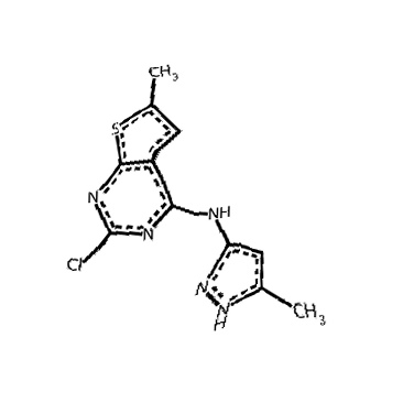 Cc1cc(Nc2nc(Cl)nc3sc(C)cc23)n[nH]1